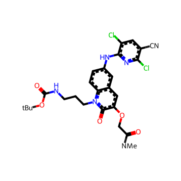 CNC(=O)COc1cc2cc(Nc3nc(Cl)c(C#N)cc3Cl)ccc2n(CCCNC(=O)OC(C)(C)C)c1=O